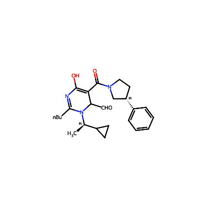 CCCCC1=NC(O)=C(C(=O)N2CC[C@H](c3ccccc3)C2)C(C=O)N1[C@H](C)C1CC1